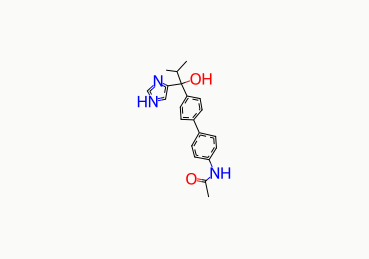 CC(=O)Nc1ccc(-c2ccc(C(O)(c3c[nH]cn3)C(C)C)cc2)cc1